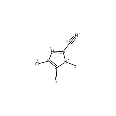 Cn1c(C#N)nc(Cl)c1Cl